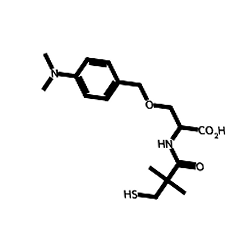 CN(C)c1ccc(COCC(NC(=O)C(C)(C)CS)C(=O)O)cc1